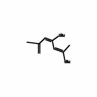 C=C(C)/C=C(\C=C(/C)C(C)(C)C)C(C)(C)C